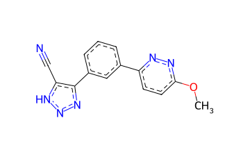 COc1ccc(-c2cccc(-c3nn[nH]c3C#N)c2)nn1